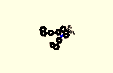 CC1(C)c2ccccc2-c2c(N(c3ccc(-c4cccc5ccccc45)cc3)c3cccc(-c4ccc(-c5cccc6ccccc56)cc4)c3)cccc21